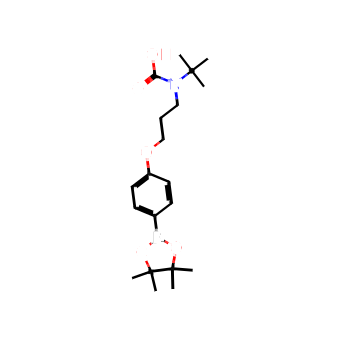 CC(C)(C)N(CCCOc1ccc(B2OC(C)(C)C(C)(C)O2)cc1)C(=O)O